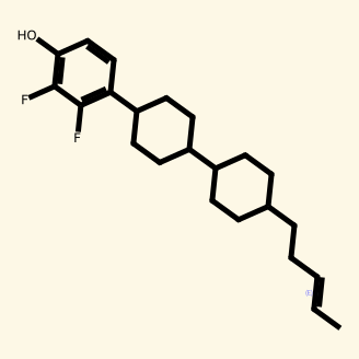 C/C=C/CCC1CCC(C2CCC(c3ccc(O)c(F)c3F)CC2)CC1